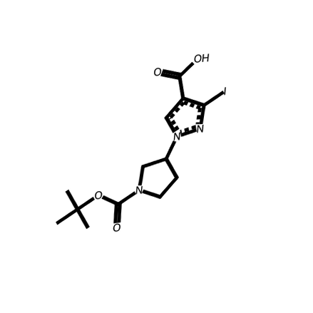 CC(C)(C)OC(=O)N1CCC(n2cc(C(=O)O)c(I)n2)C1